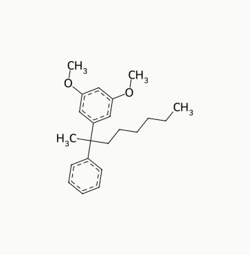 CCCCCCC(C)(c1ccccc1)c1cc(OC)cc(OC)c1